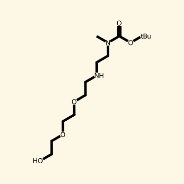 CN(CCNCCOCCOCCO)C(=O)OC(C)(C)C